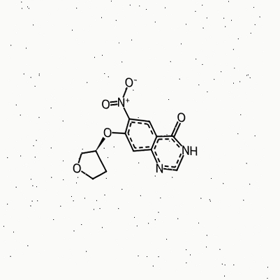 O=c1[nH]cnc2cc(O[C@H]3CCOC3)c([N+](=O)[O-])cc12